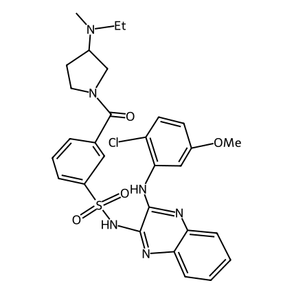 CCN(C)C1CCN(C(=O)c2cccc(S(=O)(=O)Nc3nc4ccccc4nc3Nc3cc(OC)ccc3Cl)c2)C1